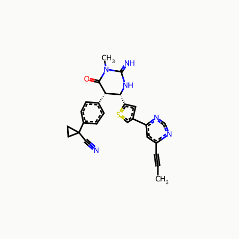 CC#Cc1cc(-c2csc([C@H]3NC(=N)N(C)C(=O)[C@H]3c3ccc(C4(C#N)CC4)cc3)c2)ncn1